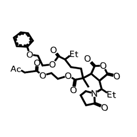 CCC(CCC(C)(C(=O)OCCOC(=O)CC(C)=O)C1C(=O)OC(=O)C1C(CC)N1CCCC1=O)C(=O)OCCOc1ccccc1